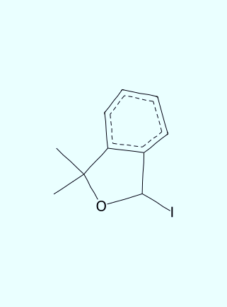 CC1(C)OC(I)c2ccccc21